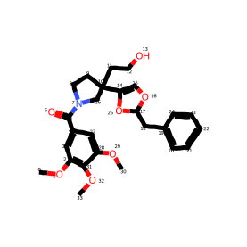 COc1cc(C(=O)N2CCC(CCO)(C3=COC(Cc4ccccc4)O3)C2)cc(OC)c1OC